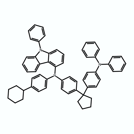 c1ccc(N(c2ccccc2)c2ccc(C3(c4ccc(N(c5ccc(C6CCCCC6)cc5)c5cccc6c5c5ccccc5n6-c5ccccc5)cc4)CCCC3)cc2)cc1